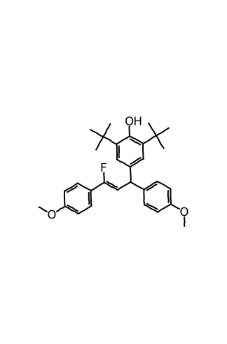 COc1ccc(C(F)=CC(c2ccc(OC)cc2)c2cc(C(C)(C)C)c(O)c(C(C)(C)C)c2)cc1